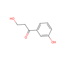 O=C(CCO)c1cccc(O)c1